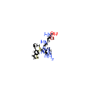 C#Cc1cc2c(cc1Sc1nc3c(N)ncnc3n1CCNCCC(=O)NO)SCC2